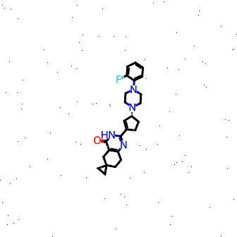 O=c1[nH]c(C2=C[C@H](N3CCN(c4ccccc4F)CC3)CC2)nc2c1CC1(CC2)CC1